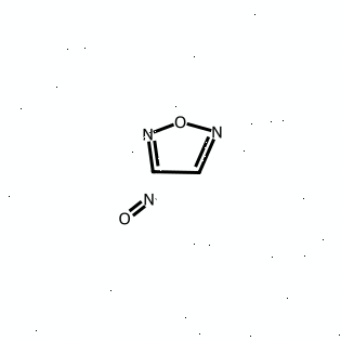 [N]=O.c1cnon1